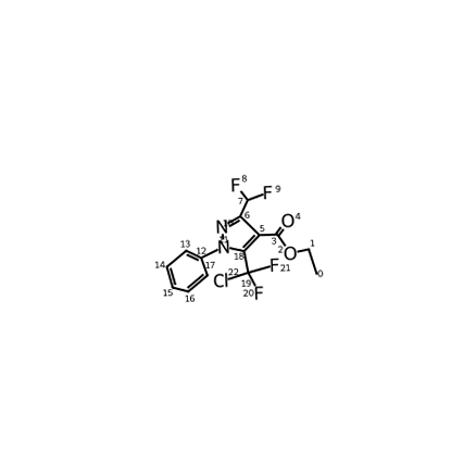 CCOC(=O)c1c(C(F)F)nn(-c2ccccc2)c1C(F)(F)Cl